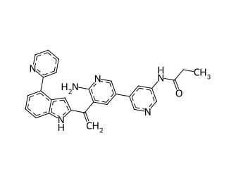 C=C(c1cc2c(-c3ccccn3)cccc2[nH]1)c1cc(-c2cncc(NC(=O)CC)c2)cnc1N